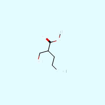 CC(C)(C)OC(=O)C(CO)CCC(=O)O